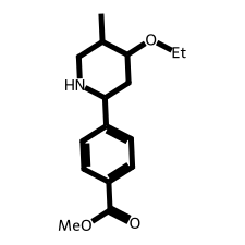 CCOC1CC(c2ccc(C(=O)OC)cc2)NCC1C